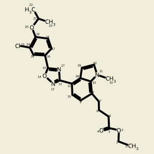 CCOC(=O)CCCc1ccc(-c2noc(-c3ccc(OC(C)C)c(Cl)c3)n2)c2ccn(C)c12